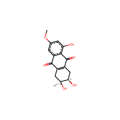 COc1cc(O)c2c(c1)C(=O)C1=C(C[C@@H](O)[C@@](C)(O)C1)C2=O